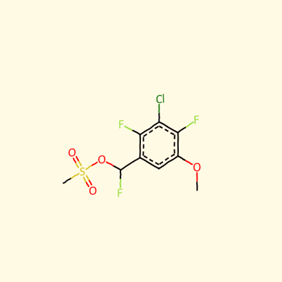 COc1cc(C(F)OS(C)(=O)=O)c(F)c(Cl)c1F